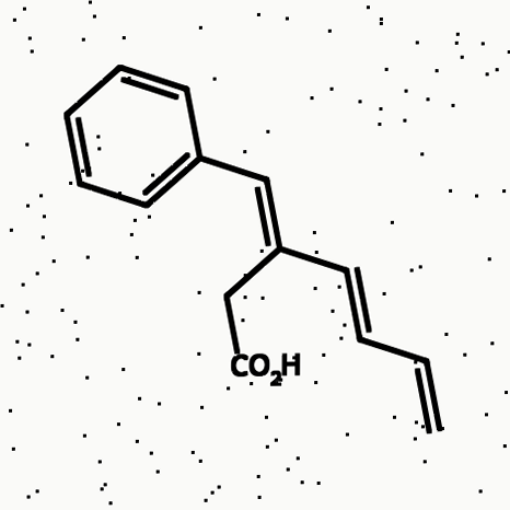 C=CC=CC(=Cc1ccccc1)CC(=O)O